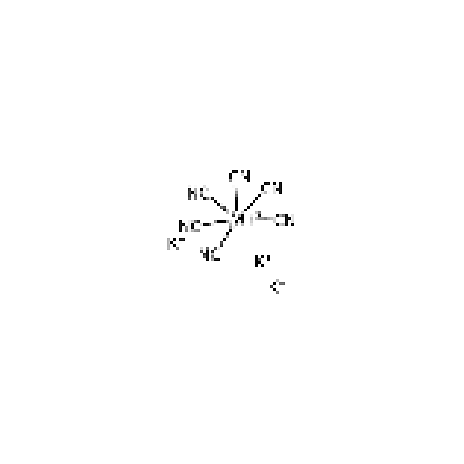 N#[C][Mn-3]([C]#N)([C]#N)([C]#N)([C]#N)[C]#N.[K+].[K+].[K+]